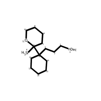 CCCCCCCCCCCCCC1(C2([SiH3])CCCCO2)CCCCC1